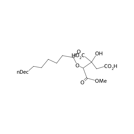 CCCCCCCCCCCCCCCC(=O)OC(C(=O)OC)C(O)(CC(=O)O)C(=O)O